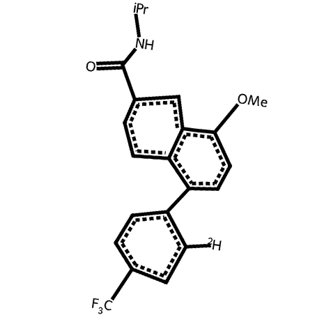 [2H]c1cc(C(F)(F)F)ccc1-c1ccc(OC)c2cc(C(=O)NC(C)C)ccc12